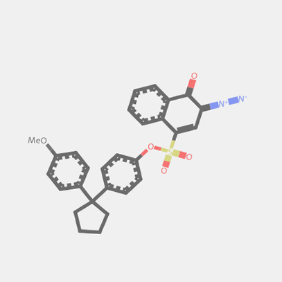 COc1ccc(C2(c3ccc(OS(=O)(=O)C4=CC(=[N+]=[N-])C(=O)c5ccccc54)cc3)CCCC2)cc1